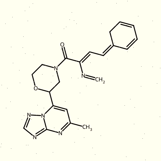 C=N/C(=C\C=C1\C=CC=CC1)C(=O)N1CCOC(c2cc(C)nc3ncnn23)C1